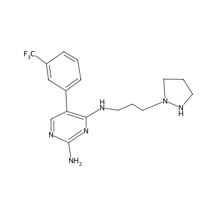 Nc1ncc(-c2cccc(C(F)(F)F)c2)c(NCCCN2CCCN2)n1